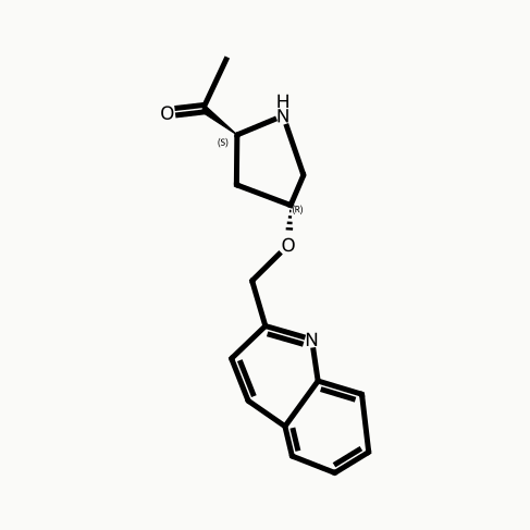 CC(=O)[C@@H]1C[C@@H](OCc2ccc3ccccc3n2)CN1